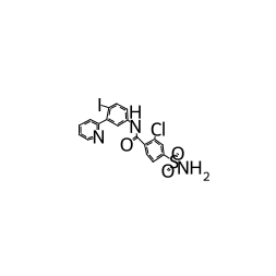 NS(=O)(=O)c1ccc(C(=O)Nc2ccc(I)c(-c3ccccn3)c2)c(Cl)c1